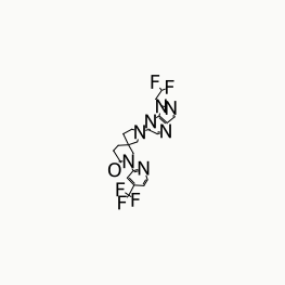 O=C1CCC2(CCN(c3cnc4cnn(CC(F)F)c4n3)C2)CN1c1cc(C(F)(F)F)ccn1